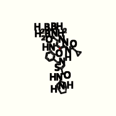 BC(B)(B)NC(=O)c1nnc(NC(=O)C2CC2)cc1Nc1cccc(-c2ncc(C(=O)N[C@H]3C[C@H]4CC[C@@H](C3)N4C)s2)c1OC